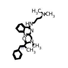 C/C(=C\c1ccccc1)C(=O)N(C)Cc1nc(NCCCN(C)C)c2ccccc2n1